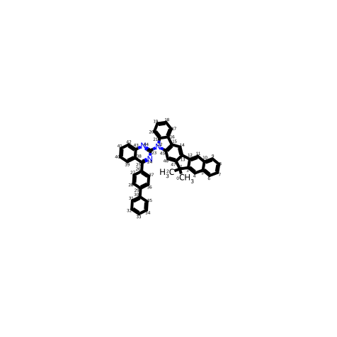 CC1(C)c2cc3ccccc3cc2-c2cc3c4ccccc4n(-c4nc(-c5ccc(-c6ccccc6)cc5)c5ccccc5n4)c3cc21